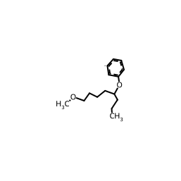 CCCC(CCCCOC)Oc1c[c]ccc1